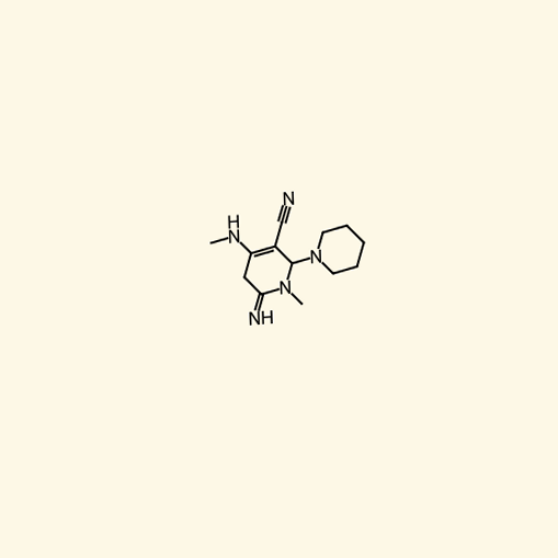 CNC1=C(C#N)C(N2CCCCC2)N(C)C(=N)C1